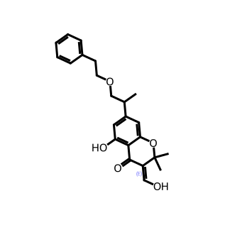 CC(COCCc1ccccc1)c1cc(O)c2c(c1)OC(C)(C)/C(=C\O)C2=O